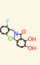 O=C1c2c(ccc(O)c2O)CN1Cc1c(F)cccc1Cl